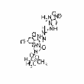 CC(C)(C)OC(=O)N1CC(=O)N(c2cnc(NCCNc3ccc([N+](=O)[O-])c(N)n3)nc2-c2ccc(Cl)cc2Cl)C(=O)C1